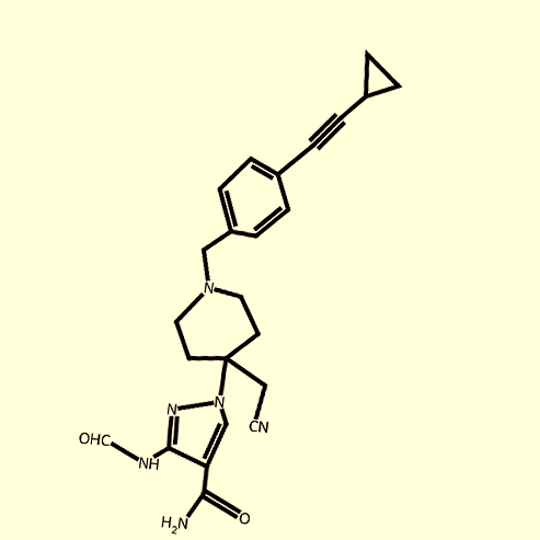 N#CCC1(n2cc(C(N)=O)c(NC=O)n2)CCN(Cc2ccc(C#CC3CC3)cc2)CC1